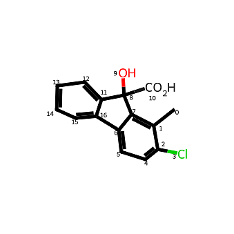 Cc1c(Cl)ccc2c1C(O)(C(=O)O)c1ccccc1-2